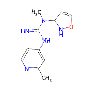 Cc1cc(NC(=N)N(C)C2C=CON2)ccn1